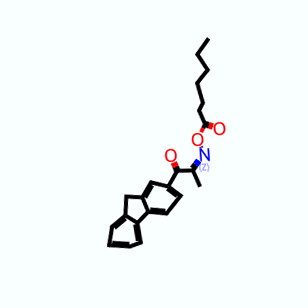 CCCCCCC(=O)O/N=C(/C)C(=O)c1ccc2c(c1)Cc1ccccc1-2